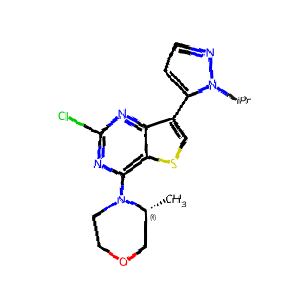 CC(C)n1nccc1-c1csc2c(N3CCOC[C@H]3C)nc(Cl)nc12